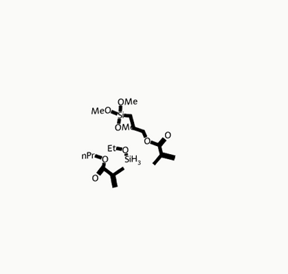 C=C(C)C(=O)OCCC[Si](OC)(OC)OC.CCO[SiH3].[CH2]CCOC(=O)C(=C)C